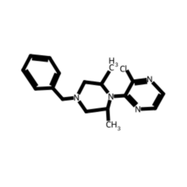 CC1CN(Cc2ccccc2)CC(C)N1c1nccnc1Cl